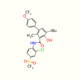 Cc1c(-c2ccc(OC(F)(F)F)cc2)cc(C(C)(C)C)c(O)c1C(=O)Nc1ccc(S(=O)(=O)C(F)(F)F)cc1Cl